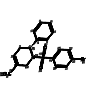 CCOC(=O)C1=CC[C@H](c2ccccc2)N(S(=O)(=O)c2ccc(Br)cc2)C1